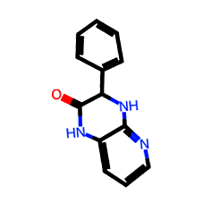 O=C1Nc2cccnc2NC1c1ccccc1